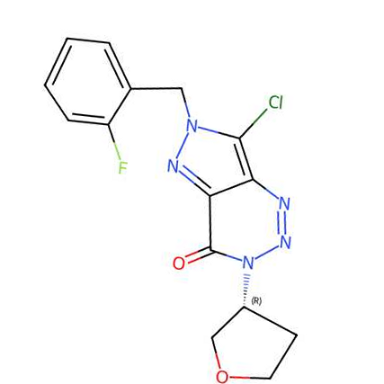 O=c1c2nn(Cc3ccccc3F)c(Cl)c2nnn1[C@@H]1CCOC1